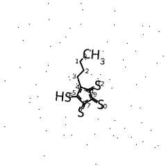 CCCCc1c(S)c(=S)c(=S)c1=S